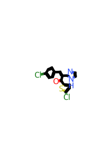 O=C(C(=Cc1ccc(Cl)cc1)c1ncc[nH]1)c1ccc(Cl)s1